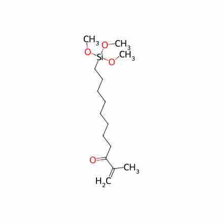 C=C(C)C(=O)CCCCCCCC[Si](OC)(OC)OC